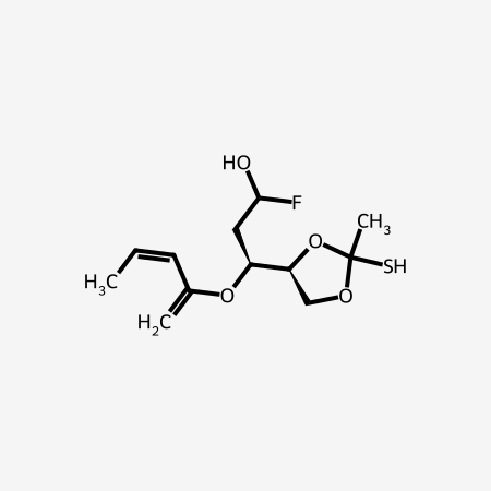 C=C(/C=C\C)O[C@@H](CC(O)F)[C@@H]1COC(C)(S)O1